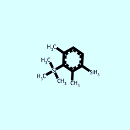 Cc1ccc([SiH3])c(C)c1[Si](C)(C)C